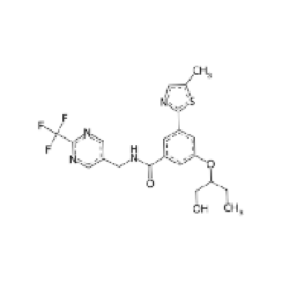 CCC(CO)Oc1cc(C(=O)NCc2cnc(C(F)(F)F)nc2)cc(-c2ncc(C)s2)c1